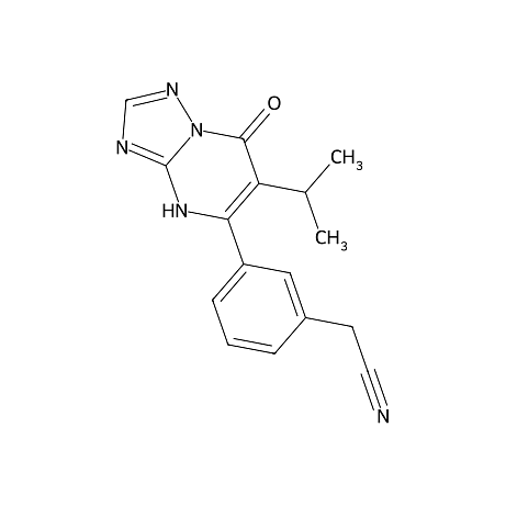 CC(C)c1c(-c2cccc(CC#N)c2)[nH]c2ncnn2c1=O